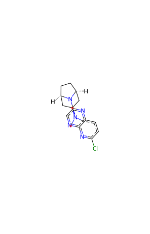 CN(C)[C@H]1C[C@H]2CC[C@@H](C1)N2c1cnc2nc(Cl)ccc2n1